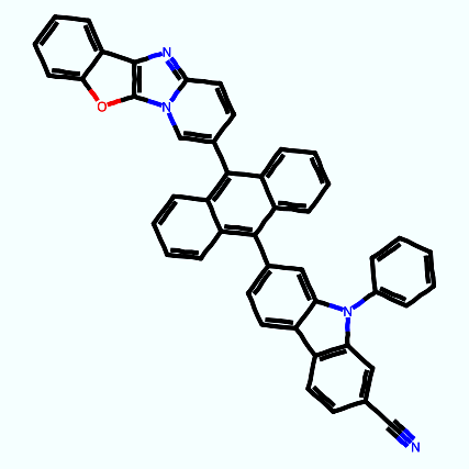 N#Cc1ccc2c3ccc(-c4c5ccccc5c(-c5ccc6nc7c8ccccc8oc7n6c5)c5ccccc45)cc3n(-c3ccccc3)c2c1